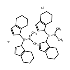 C[SiH](C)[Ti+]([CH]1C=CC2=C1CCCC2)[CH]1C=CC2=C1CCCC2.C[SiH](C)[Ti+]([CH]1C=CC2=C1CCCC2)[CH]1C=CC2=C1CCCC2.[Cl-].[Cl-]